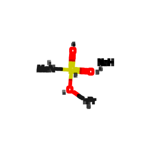 CCCOS(=O)(=O)NC.[NaH]